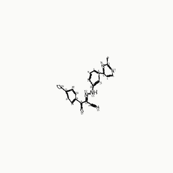 Cc1nccc(-c2cccc(N/N=C(\C#N)C(=O)c3ccc(Cl)cc3)c2)n1